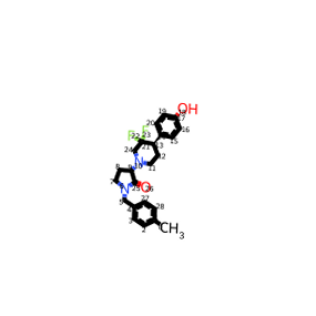 Cc1ccc(CN2CCC(N3CC[C@H](c4ccc(O)cc4)C(F)(F)C3)C2=O)cc1